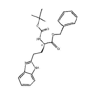 CC(C)(C)OC(=O)N[C@H](CCc1nc2ccccc2[nH]1)C(=O)OCc1ccccc1